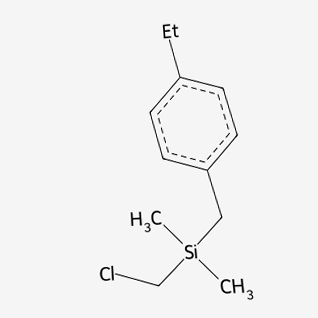 CCc1ccc(C[Si](C)(C)CCl)cc1